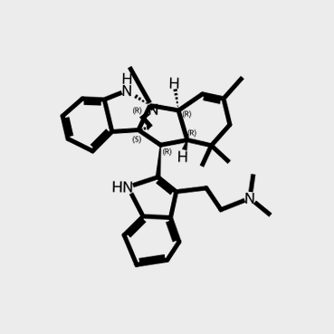 CC1=C[C@H]2[C@@H]([C@@H](c3[nH]c4ccccc4c3CCN(C)C)[C@]34CCN(C)[C@]23Nc2ccccc24)C(C)(C)C1